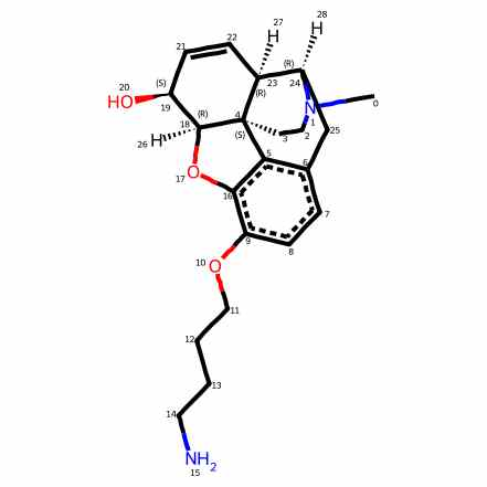 CN1CC[C@]23c4c5ccc(OCCCCN)c4O[C@H]2[C@@H](O)C=C[C@H]3[C@H]1C5